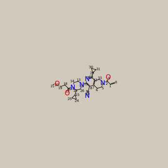 C=CC(=O)N1CCc2c(C#N)c(N3CCN(C(=O)CCOC)C(C4CC4)C3)nc(C3CC3)c2C1